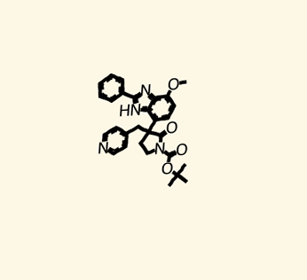 COc1ccc(C2(Cc3ccncc3)CCN(C(=O)OC(C)(C)C)C2=O)c2[nH]c(-c3ccccc3)nc12